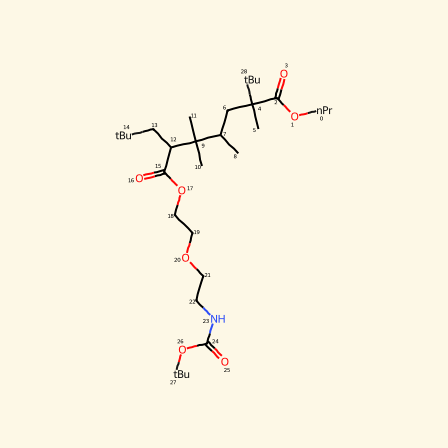 CCCOC(=O)C(C)(CC(C)C(C)(C)C(CC(C)(C)C)C(=O)OCCOCCNC(=O)OC(C)(C)C)C(C)(C)C